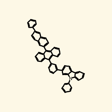 c1ccc(-c2ccc3cc(-c4c5ccccc5c(-c5cccc(-c6ccc7c8ccccc8n(-c8ccccc8)c7c6)c5)c5ccccc45)ccc3c2)cc1